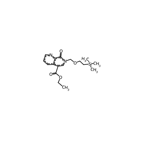 CCOC(=O)c1cn(COCC[Si](C)(C)C)c(=O)c2ncccc12